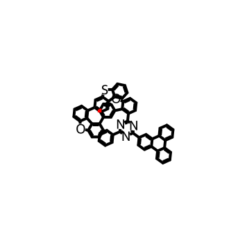 c1ccc(-c2nc(-c3ccc4c5ccccc5c5ccccc5c4c3)nc(-c3cccc4oc5ccc(-c6cccc7oc8cccc(-c9ccc%10c(c9)sc9ccccc9%10)c8c67)cc5c34)n2)cc1